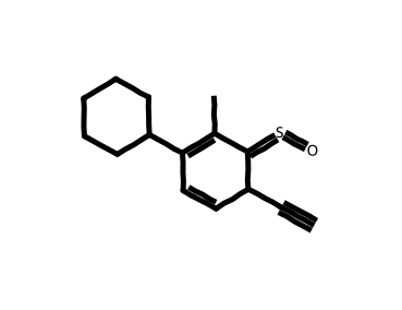 C#CC1C=CC(C2CCCCC2)=C(C)C1=S=O